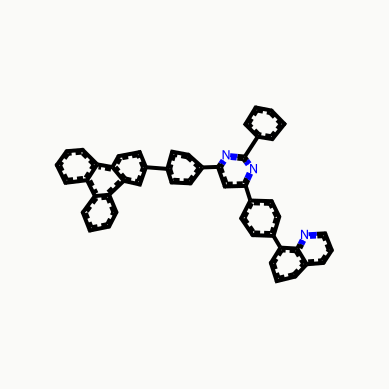 c1ccc(-c2nc(-c3ccc(-c4ccc5c6ccccc6c6ccccc6c5c4)cc3)cc(-c3ccc(-c4cccc5cccnc45)cc3)n2)cc1